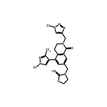 CCn1cc(CN2CCc3c(cc(CN4CCOC4=N)cc3-c3cn(CC)nc3C(F)(F)F)C2=O)nn1